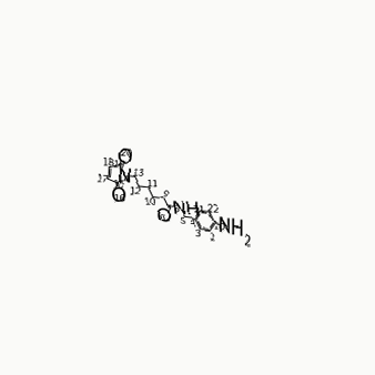 Nc1ccc(CNC(=O)CCCCCN2C(=O)C=CC2=O)cc1